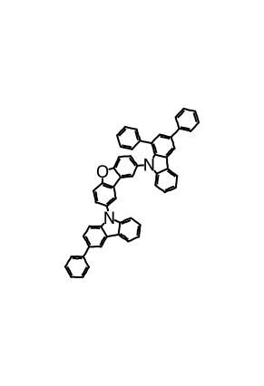 c1ccc(-c2ccc3c(c2)c2ccccc2n3-c2ccc3oc4ccc(-n5c6ccccc6c6cc(-c7ccccc7)cc(-c7ccccc7)c65)cc4c3c2)cc1